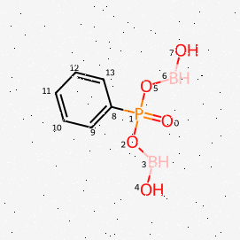 O=P(OBO)(OBO)c1ccccc1